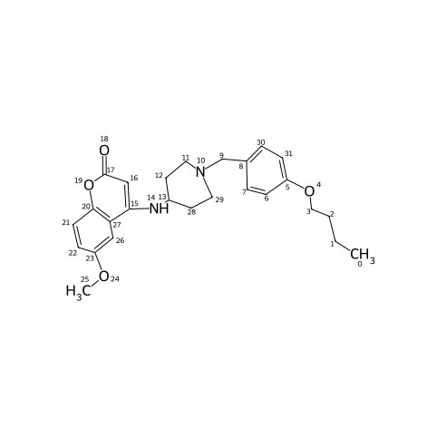 CCCCOc1ccc(CN2CCC(Nc3cc(=O)oc4ccc(OC)cc34)CC2)cc1